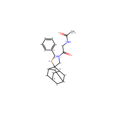 CC(=O)NCC(=O)NCC1(SCc2ccccc2)C2CC3CC(C2)CC1C3